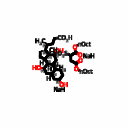 CCCCCCCCOC(=O)CC(C(=O)OCCCCCCCC)S(=O)(=O)O.C[C@H](CCC(=O)O)[C@H]1CC[C@H]2[C@@H]3[C@H](O)C[C@@H]4C[C@H](O)CC[C@]4(C)[C@H]3C[C@H](O)[C@]12C.[NaH].[NaH]